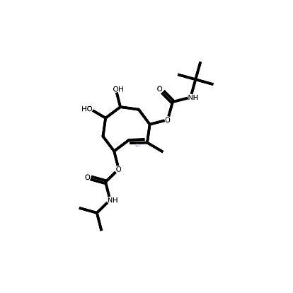 C/C1=C\C(OC(=O)NC(C)C)CC(O)C(O)CC1OC(=O)NC(C)(C)C